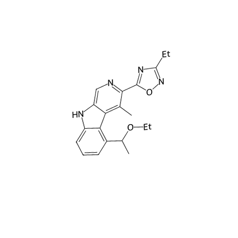 CCOC(C)c1cccc2[nH]c3cnc(-c4nc(CC)no4)c(C)c3c12